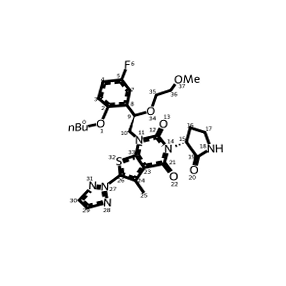 CCCCOc1ccc(F)cc1[C@H](Cn1c(=O)n([C@@H]2CCNC2=O)c(=O)c2c(C)c(-n3nccn3)sc21)OCCOC